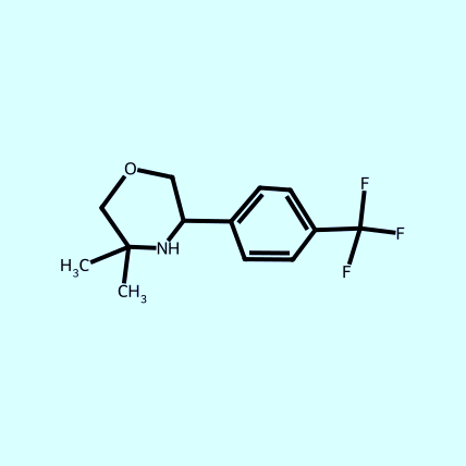 CC1(C)COCC(c2ccc(C(F)(F)F)cc2)N1